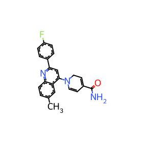 Cc1ccc2nc(-c3ccc(F)cc3)cc(N3C=CC(C(N)=O)=CC3)c2c1